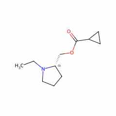 CCN1CCC[C@H]1COC(=O)C1CC1